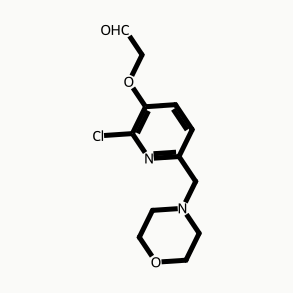 O=CCOc1ccc(CN2CCOCC2)nc1Cl